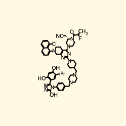 C=C(F)C(=O)N1CCN(c2nc(N3CCC(CN4CCN(Cc5ccc(-n6c(O)nnc6-c6cc(C(C)C)c(O)cc6O)cc5)CC4)CC3)nc3c2CCN(c2cccc4cccc(Cl)c24)C3)C[C@@H]1CC#N